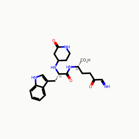 N=CC(=O)CC[C@H](NC(=O)[C@H](Cc1c[nH]c2ccccc12)NC1CCNC(=O)C1)C(=O)O